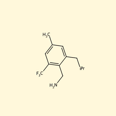 Cc1cc(CC(C)C)c(CN)c(C(F)(F)F)c1